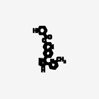 Cc1cccc(-c2[nH]cnc2-c2ccc3ncc(OC(=O)C4CCCNC4)cc3c2)n1